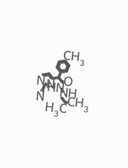 Cc1ccc(C(C(=O)NNCC(C)C)c2ccnc(C#N)n2)cc1